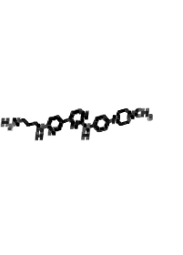 CN1CCN(c2ccc(Nc3nccc(-c4ccc(NCCCN)nc4)n3)cc2)CC1